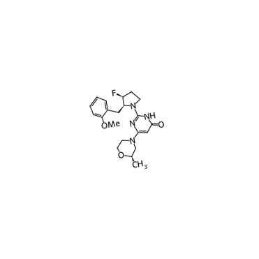 COc1ccccc1C[C@H]1[C@@H](F)CCN1c1nc(N2CCO[C@H](C)C2)cc(=O)[nH]1